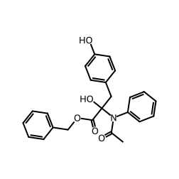 CC(=O)N(c1ccccc1)C(O)(Cc1ccc(O)cc1)C(=O)OCc1ccccc1